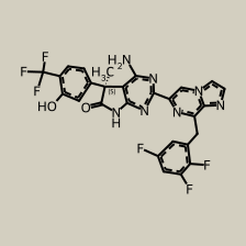 C[C@@]1(c2ccc(C(F)(F)F)c(O)c2)C(=O)Nc2nc(-c3cn4ccnc4c(Cc4cc(F)cc(F)c4F)n3)nc(N)c21